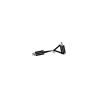 N#C[C@@H]1C#S1